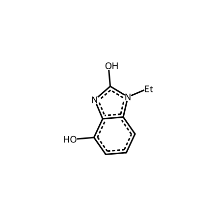 CCn1c(O)nc2c(O)cccc21